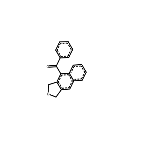 O=C(c1ccccc1)c1c2c(cc3ccccc13)COC2